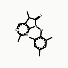 Cc1cc(C)c(NN2C(=O)C(C)c3cnc(C)nc32)c(C)c1